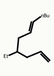 C=CCC(CC)CC=CCCCC